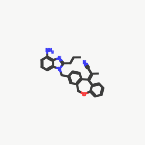 CCCc1nc2c(N)cccc2n1Cc1ccc2c(c1)COc1ccccc1/C2=C(\C)C#N